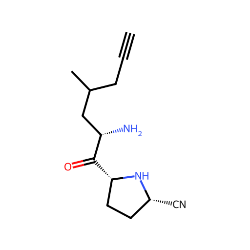 C#CCC(C)C[C@H](N)C(=O)[C@H]1CC[C@@H](C#N)N1